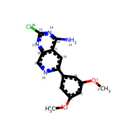 COc1cc(OC)cc(-c2cc3c(N)nc(Cl)nc3cn2)c1